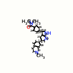 CN1CCc2ccc(-c3cnc4[nH]cc(-c5ccc(C(=O)N(C)C)cc5)c4c3)cc2C1